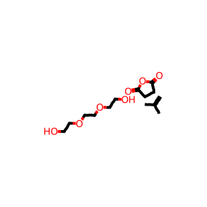 C=C(C)C.O=C1CCC(=O)O1.OCCOCCOCCO